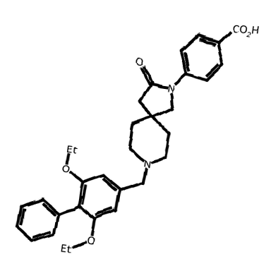 CCOc1cc(CN2CCC3(CC2)CC(=O)N(c2ccc(C(=O)O)cc2)C3)cc(OCC)c1-c1ccccc1